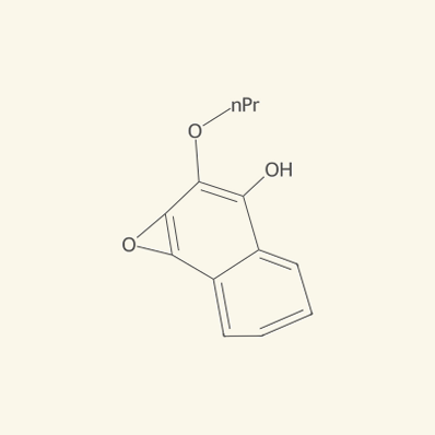 CCCOc1c2c(c3ccccc3c1O)O2